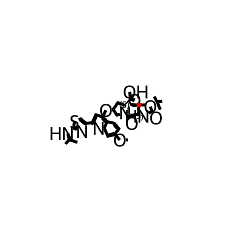 COc1ccc2c(OC3C[C@@H](C(=O)O)N(C(=O)[C@@H](NC(=O)OC(C)(C)C)C(C)(C)C)C3)cc(-c3csc(NC(C)C)n3)nc2c1